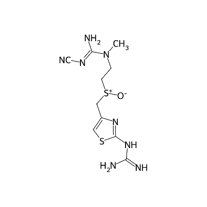 CN(CC[S+]([O-])Cc1csc(NC(=N)N)n1)C(N)=NC#N